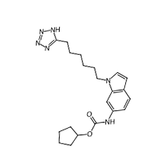 O=C(Nc1ccc2ccn(CCCCCCc3nnn[nH]3)c2c1)OC1CCCC1